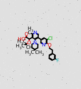 Cc1ncc(-c2cnc(OCCc3cccc(F)c3)c(Cl)c2)c(N2CCC(C)(C)CC2)c1C(OC(C)(C)C)C(=O)O